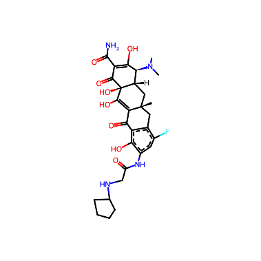 CN(C)[C@@H]1C(O)=C(C(N)=O)C(=O)[C@@]2(O)C(O)=C3C(=O)c4c(O)c(NC(=O)CNC5CCCC5)cc(F)c4C[C@@]3(C)C[C@@H]12